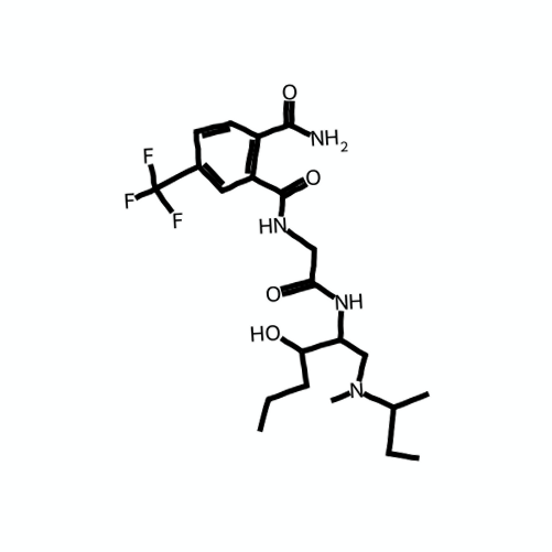 CCCC(O)C(CN(C)C(C)CC)NC(=O)CNC(=O)c1cc(C(F)(F)F)ccc1C(N)=O